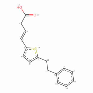 O=C(O)CC=Cc1ccc(CCc2ccccc2)s1